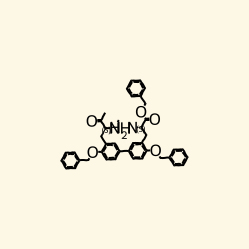 CN[C@@H](Cc1cc(-c2ccc(OCc3ccccc3)c(C[C@H](N)C(=O)OCc3ccccc3)c2)ccc1OCc1ccccc1)C(C)=O